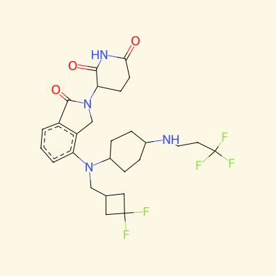 O=C1CCC(N2Cc3c(cccc3N(CC3CC(F)(F)C3)C3CCC(NCCC(F)(F)F)CC3)C2=O)C(=O)N1